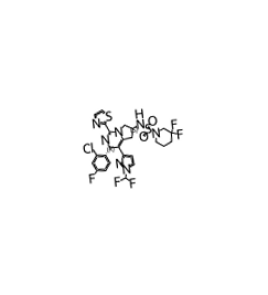 O=S(=O)(N[C@H]1CC2=C(c3ccn(C(F)F)n3)[C@H](c3ccc(F)cc3Cl)N=C(c3nccs3)N2C1)N1CCCC(F)(F)C1